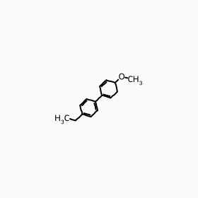 CCc1ccc(C2=CCC(OC)C=C2)cc1